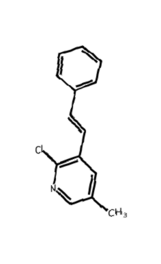 Cc1cnc(Cl)c(/C=C/c2ccccc2)c1